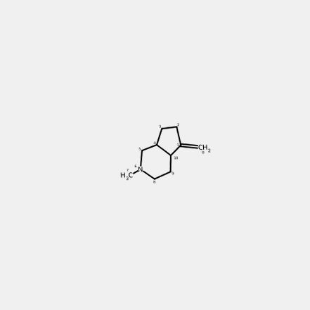 C=C1CCC2CN(C)CCC12